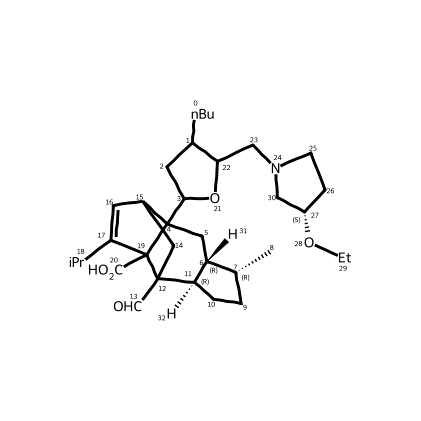 CCCCC1CC(C23C[C@@H]4[C@H](C)CC[C@H]4C4(C=O)CC2C=C(C(C)C)C34C(=O)O)OC1CN1CC[C@H](OCC)C1